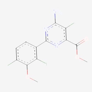 COC(=O)c1nc(-c2ccc(Cl)c(OC)c2F)nc(N)c1F